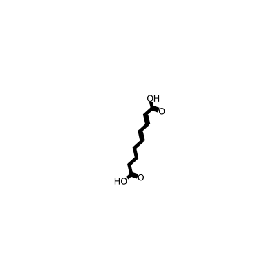 O=C(O)C=CC=CCCCC(=O)O